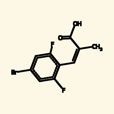 C/C(=C/c1c(F)cc(Br)cc1F)C(=O)O